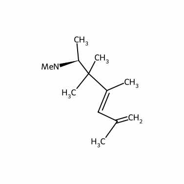 C=C(C)/C=C(\C)C(C)(C)[C@H](C)NC